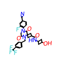 N#Cc1ccc(N2CC(=O)N(Cc3ccc(C(F)(F)F)cc3)C3(CC(C(=O)NC4CC(O)C4)C3)C2=O)c(F)c1